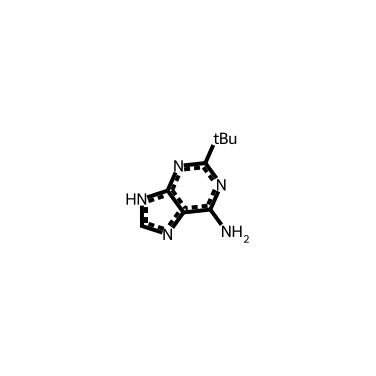 CC(C)(C)c1nc(N)c2nc[nH]c2n1